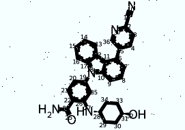 N#Cc1ccc(-c2cccc3c2c2ccccc2n3-c2ccc(C(N)=O)c(N[C@H]3CC[C@H](O)CC3)c2)cn1